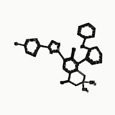 CC1(C)CC(=O)c2cc(-c3nc(-c4ccc(Cl)cc4)cs3)c(=O)n(-c3ccccc3Oc3ccccc3)c2C1